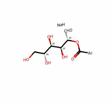 CC(=O)C(=O)O[C@@H](C=O)[C@@H](O)[C@H](O)[C@H](O)CO.[NaH]